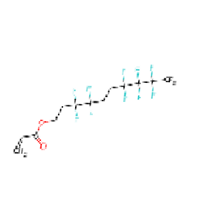 C=CC(=O)OCCC(F)(F)C(F)(F)CCC(F)(F)C(F)(F)C(F)(F)C(F)(F)F